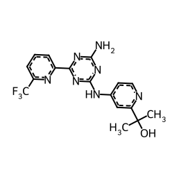 CC(C)(O)c1cc(Nc2nc(N)nc(-c3cccc(C(F)(F)F)n3)n2)ccn1